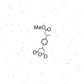 COC(=O)CC(C)c1ccc(C2CC(=O)OC(=O)C2)cc1